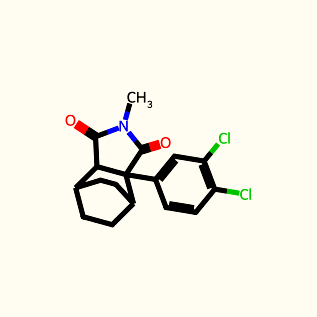 CN1C(=O)C2C3CCC(CC3)C2(c2ccc(Cl)c(Cl)c2)C1=O